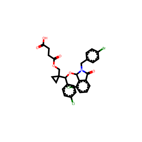 O=C(O)CCC(=O)OCC1(C(OC2c3c(Cl)cccc3C(=O)N2Cc2ccc(Br)cc2)c2ccc(Cl)cc2)CC1